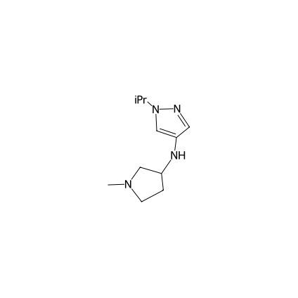 CC(C)n1cc(NC2CCN(C)C2)cn1